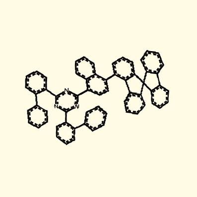 c1ccc(-c2ccccc2-c2nc(-c3ccccc3-c3ccccc3)nc(-c3ccc(-c4cccc5c4-c4ccccc4C54c5ccccc5-c5ccccc54)c4ccccc34)n2)cc1